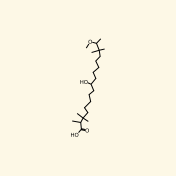 COC(C)C(C)(C)CCCCCC(O)CCCCCC(C)(C)C(C)C(=O)O